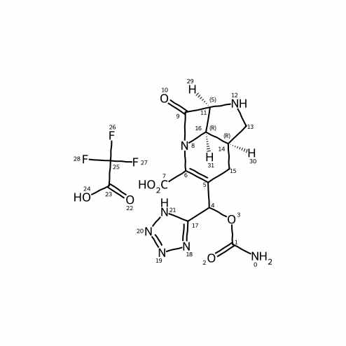 NC(=O)OC(C1=C(C(=O)O)N2C(=O)[C@H]3NC[C@@H](C1)[C@H]32)c1nnn[nH]1.O=C(O)C(F)(F)F